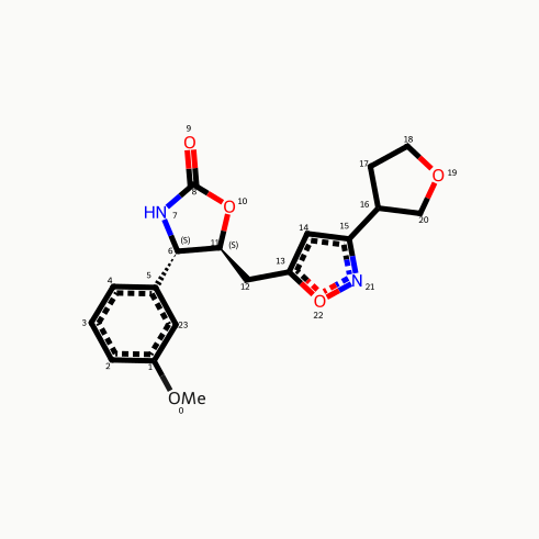 COc1cccc([C@@H]2NC(=O)O[C@H]2Cc2cc(C3CCOC3)no2)c1